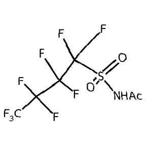 CC(=O)NS(=O)(=O)C(F)(F)C(F)(F)C(F)(F)C(F)(F)F